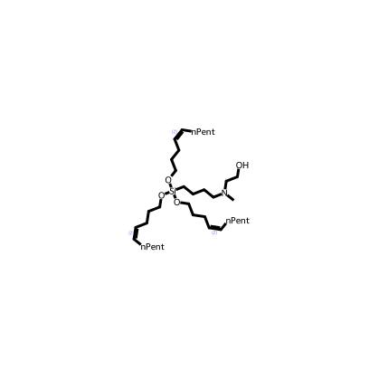 CCCCC/C=C\CCCO[Si](CCCCN(C)CCO)(OCCC/C=C\CCCCC)OCCC/C=C\CCCCC